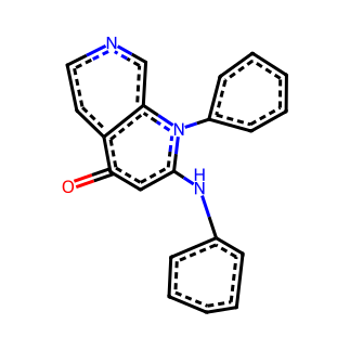 O=c1cc(Nc2ccccc2)n(-c2ccccc2)c2cnccc12